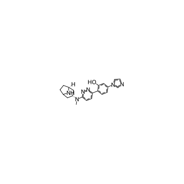 CN(c1ccc(-c2ccc(-n3ccnc3)cc2O)nn1)[C@@H]1CC2CC[C@@H](C1)N2